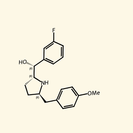 COc1ccc(C[C@H]2CC[C@H]([C@H](O)c3cccc(F)c3)N2)cc1